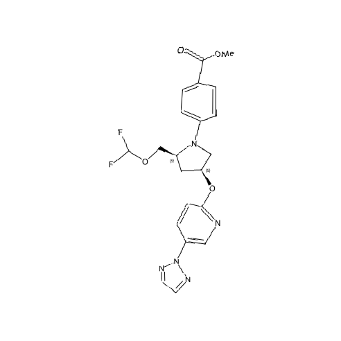 COC(=O)c1ccc(N2C[C@@H](Oc3ccc(-n4nccn4)cn3)C[C@H]2COC(F)F)cc1